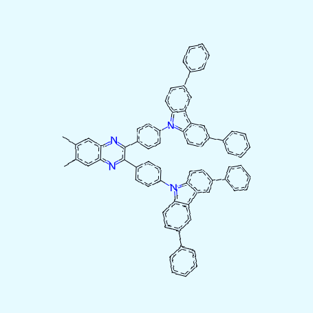 Cc1cc2nc(-c3ccc(-n4c5ccc(-c6ccccc6)cc5c5cc(-c6ccccc6)ccc54)cc3)c(-c3ccc(-n4c5ccc(-c6ccccc6)cc5c5cc(-c6ccccc6)ccc54)cc3)nc2cc1C